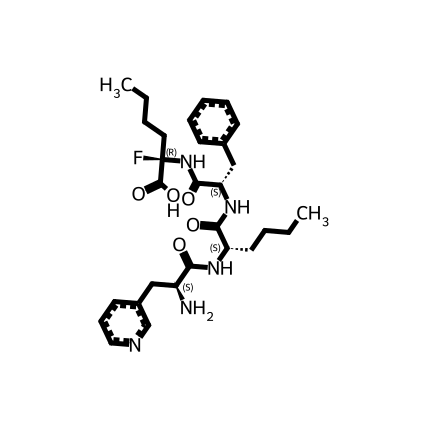 CCCC[C@H](NC(=O)[C@@H](N)Cc1cccnc1)C(=O)N[C@@H](Cc1ccccc1)C(=O)N[C@@](F)(CCCC)C(=O)O